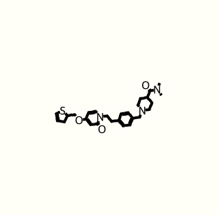 CN(C)C(=O)C1CCN(Cc2ccc(CCn3ccc(OCC4CC=CS4)cc3=O)cc2)CC1